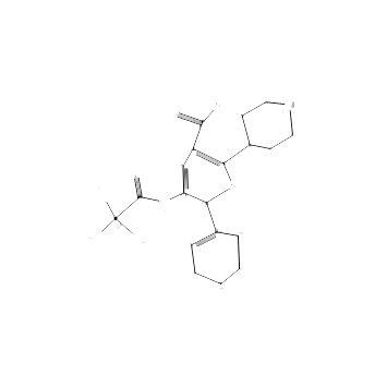 NC(=O)C1=C(C2CCNCC2)NC(C2=CCCCC2)C(OC(=O)C(F)(F)F)=C1